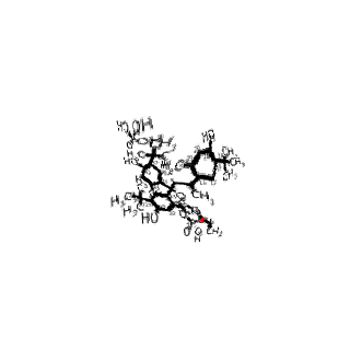 C=CCOP(=O)(OC(CC(C)c1cc(C(C)(C)C)c(O)cc1C)(c1cc(C(C)(C)C)c(O)cc1C)c1cc(C(C)(C)C)c(O)cc1C)OP(=O)(O)O.O=P(O)(O)O